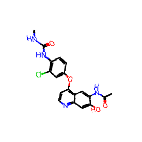 CNC(=O)Nc1ccc(Oc2ccnc3cc(O)c(NC(C)=O)cc23)cc1Cl